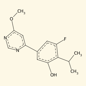 COc1cc(-c2cc(O)c(C(C)C)c(F)c2)ncn1